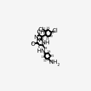 Cc1nn2c(=O)cc(CNc3ccc(N)cc3)[nH]c2c1-c1ccc(Cl)cc1Cl